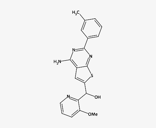 COc1cccnc1C(O)c1cc2c(N)nc(-c3cccc(C)c3)nc2s1